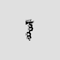 Cn1cc2cc(-c3ccc4cc(C(O)(C5CC5)C(F)(F)F)sc4n3)cnc2n1